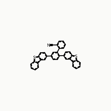 N#Cc1ccccc1-c1cc(-c2ccc3sc4ccccc4c3c2)ccc1-c1ccc2sc3ccccc3c2c1